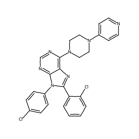 Clc1ccc(-n2c(-c3ccccc3Cl)nc3c(N4CCN(c5ccncc5)CC4)ncnc32)cc1